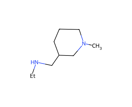 CCNCC1CCCN(C)C1